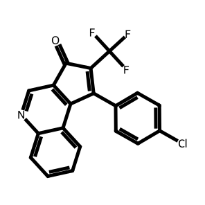 O=C1C(C(F)(F)F)=C(c2ccc(Cl)cc2)c2c1cnc1ccccc21